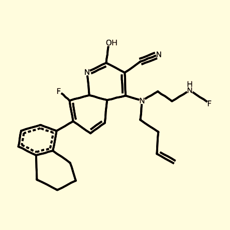 C=CCCN(CCNF)C1=C(C#N)C(O)=NC2C(F)=C(c3cccc4c3CCCC4)C=CC12